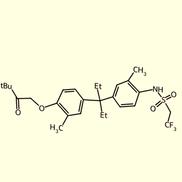 CCC(CC)(c1ccc(NS(=O)(=O)CC(F)(F)F)c(C)c1)c1ccc(OCC(=O)C(C)(C)C)c(C)c1